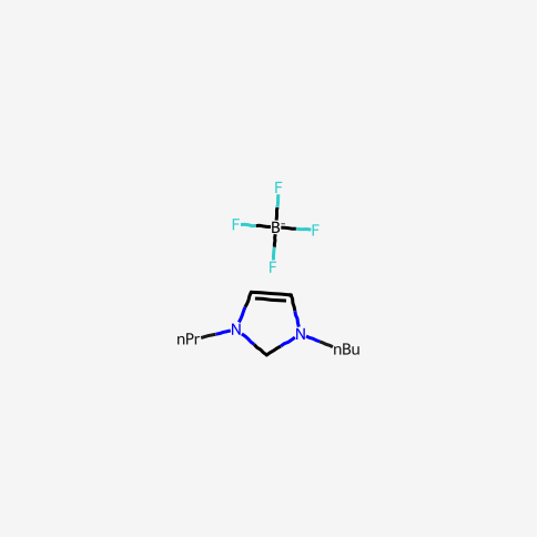 CCCCN1C=CN(CCC)C1.F[B-](F)(F)F